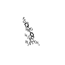 C[C@H]1SC(N)=N[C@](C)(c2cccc(NC(=O)c3cnc(OCF)cn3)c2)[C@H]1F